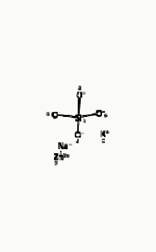 [K+].[Na+].[O-][Si]([O-])([O-])[O-].[Zn+2]